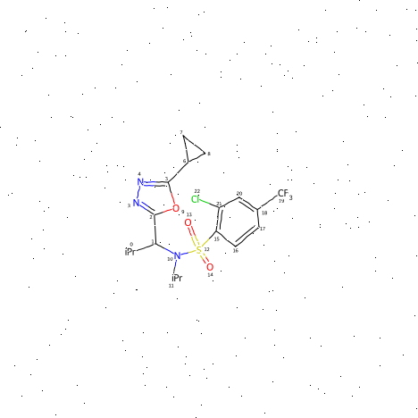 CC(C)C(c1nnc(C2CC2)o1)N(C(C)C)S(=O)(=O)c1ccc(C(F)(F)F)cc1Cl